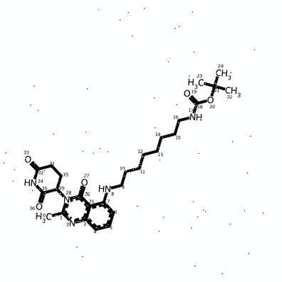 Cc1nc2cccc(NCCCCCCCCNC(=O)OC(C)(C)C)c2c(=O)n1C1CCC(=O)NC1=O